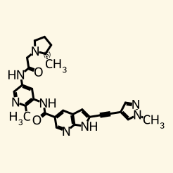 Cc1ncc(NC(=O)CN2CCC[C@@H]2C)cc1NC(=O)c1cnc2[nH]c(C#Cc3cnn(C)c3)cc2c1